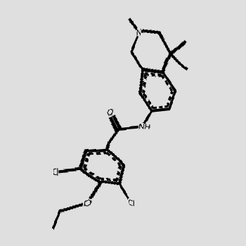 CCOc1c(Cl)cc(C(=O)Nc2ccc3c(c2)CN(C)CC3(C)C)cc1Cl